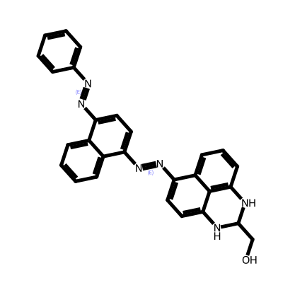 OCC1Nc2cccc3c(/N=N/c4ccc(/N=N/c5ccccc5)c5ccccc45)ccc(c23)N1